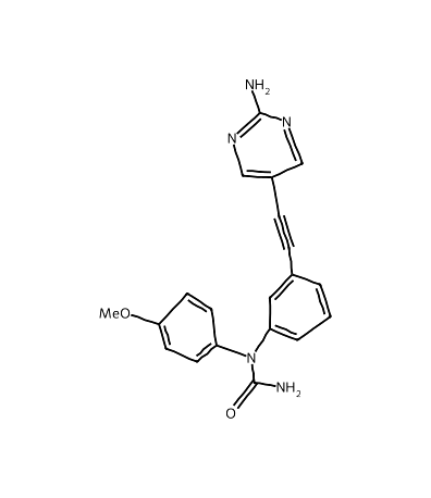 COc1ccc(N(C(N)=O)c2cccc(C#Cc3cnc(N)nc3)c2)cc1